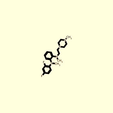 CN1CCN(CCN(C)c2ccccc2N(C)c2ccc(F)cc2F)CC1